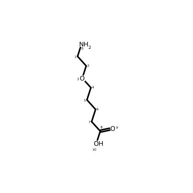 NCCOCCCCC(=O)O